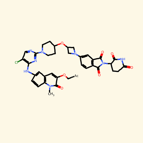 CC(=O)COc1cc2cc(Nc3nc(N4CCC(OC5CN(c6ccc7c(c6)C(=O)N(C6CCC(=O)NC6=O)C7=O)C5)CC4)ncc3Cl)ccc2n(C)c1=O